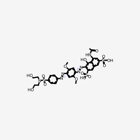 COc1cc(/N=N/c2c(S(=O)(=O)O)cc3cc(S(=O)(=O)O)cc(NC(C)=O)c3c2O)c(OC)cc1/N=N/c1ccc(S(=O)(=O)N(CCO)CCO)cc1